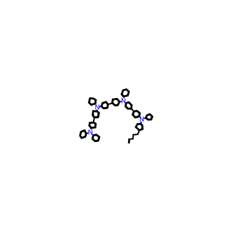 C=CCCCc1ccc(N(c2ccccc2)c2ccc(-c3ccc(N(c4ccccc4)c4ccc(-c5ccc(N(c6ccccc6)c6ccc(-c7ccc(N(c8ccccc8)c8ccccc8)cc7)cc6)cc5)cc4)cc3)cc2)cc1